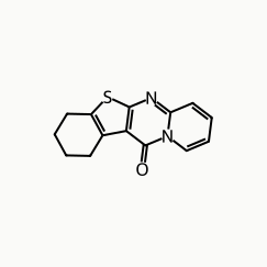 O=c1c2c3c(sc2nc2ccccn12)CCCC3